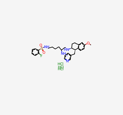 COc1ccc2c(c1)CC[C@H](NCC(N)CCCCNS(=O)(=O)c1ccccc1F)[C@@H]2Cc1cccnc1.Cl.Cl.Cl